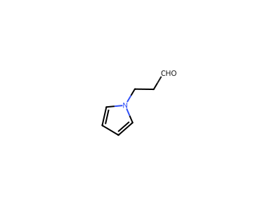 O=CCCn1cccc1